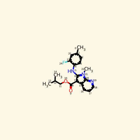 Cc1ccc(Nc2c(C(=O)OCC(C)C)c3cccnc3n2C)c(F)c1